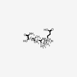 CC(=O)O.CC(N)=O.CC(N)C(=O)O.CCCC(=O)O.CN(C)C.NC(=O)CO